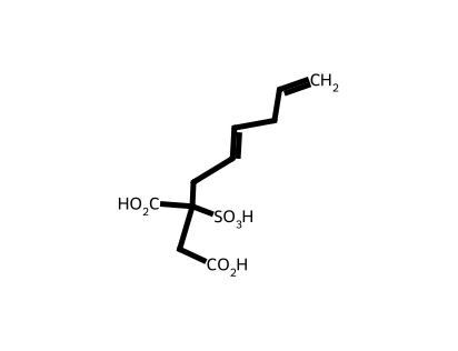 C=CCC=CCC(CC(=O)O)(C(=O)O)S(=O)(=O)O